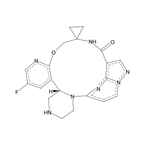 O=C1NC2(CC2)COc2ncc(F)cc2[C@H]2CNCCN2c2ccn3ncc1c3n2